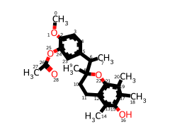 COc1ccc(C(C)C2(C)CCc3c(C)c(O)c(C)c(C)c3O2)cc1OC(C)=O